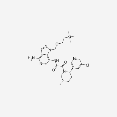 C[C@H]1CC[C@H](c2cncc(Cl)c2)N(C(=O)C(=O)Nc2cnc(N)c3cnn(COCC[Si](C)(C)C)c23)C1